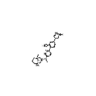 CN(c1ccc(-c2ccc(-c3cn[nH]c3)cc2O)nn1)[C@@H]1CC2(C)CCC[C@@](C)(C1)N2